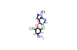 CCn1ccc2c(Oc3c(Cl)cc(N)cc3Cl)ncnc21